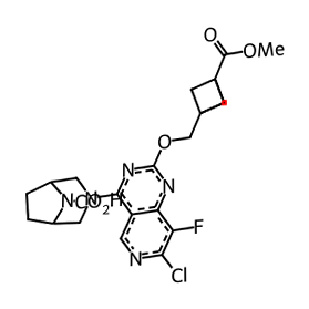 COC(=O)C12CC(COc3nc(N4CC5CCC(C4)N5C(=O)O)c4cnc(Cl)c(F)c4n3)(C1)C2